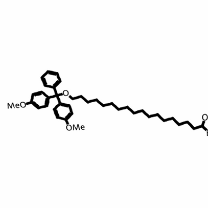 CCC(O)CCCCCCCCCCCCCCCCCOC(c1ccccc1)(c1ccc(OC)cc1)c1ccc(OC)cc1